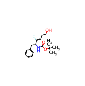 CC(C)(C)OC(=O)N[C@@H](Cc1ccccc1)/C(F)=C/CCO